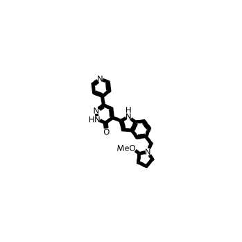 COC1CCCN1Cc1ccc2[nH]c(-c3cc(-c4ccncc4)n[nH]c3=O)cc2c1